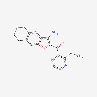 CCc1nccnc1C(=O)c1oc2cc3c(cc2c1N)CCCC3